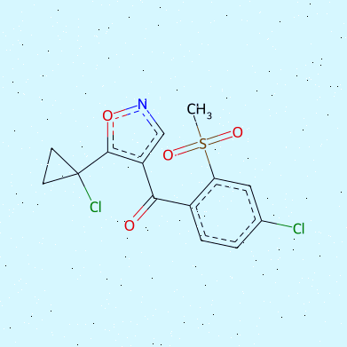 CS(=O)(=O)c1cc(Cl)ccc1C(=O)c1cnoc1C1(Cl)CC1